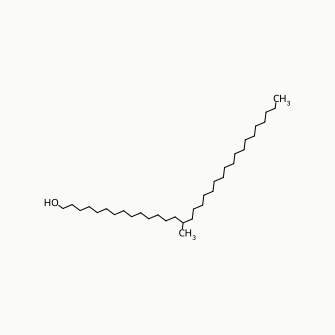 CCCCCCCCCCCCCCCCCCC(C)CCCCCCCCCCCCCCO